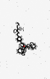 CCCNC(=O)C=Cc1ccc(-c2ccc([C@@]3(CC(=O)NOC4CCCCO4)CCCCS3(=O)=O)s2)cc1